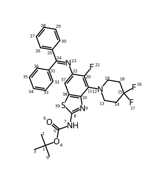 CC(C)(C)OC(=O)Nc1nc2c(N3CCC(F)(F)CC3)c(F)c(N=C(c3ccccc3)c3ccccc3)cc2s1